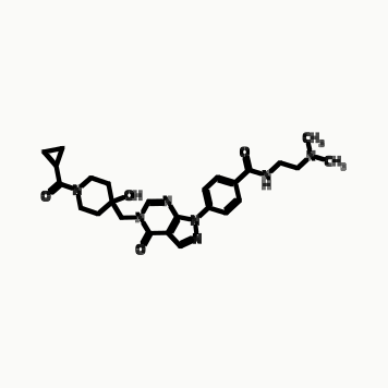 CN(C)CCNC(=O)c1ccc(-n2ncc3c(=O)n(CC4(O)CCN(C(=O)C5CC5)CC4)cnc32)cc1